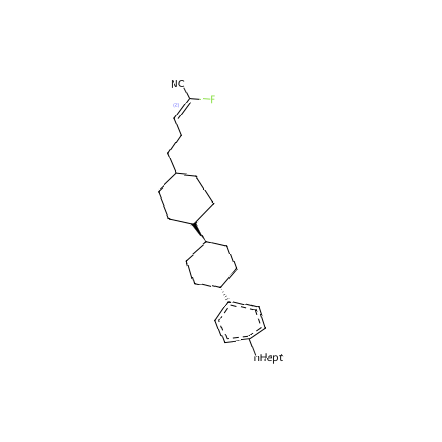 CCCCCCCc1ccc([C@H]2CC[C@H](C3CCC(CC/C=C(\F)C#N)CC3)CC2)cc1